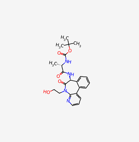 C[C@H](NC(=O)OC(C)(C)C)C(=O)N[C@@H]1C(=O)N(CCO)c2ncccc2-c2ccccc21